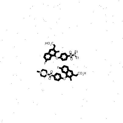 CCN(CC)S(=O)(=O)c1ccc(Oc2c(C)c(CC(=O)O)cc3ccc(F)cc23)cc1.Cc1c(CC(=O)O)cc2ccc(F)cc2c1Oc1ccc(S(=O)(=O)N2CCN(C)CC2)cc1